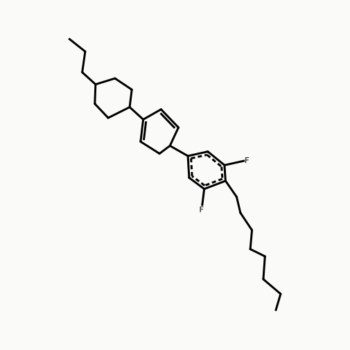 CCCCCCCCc1c(F)cc(C2C=CC(C3CCC(CCC)CC3)=CC2)cc1F